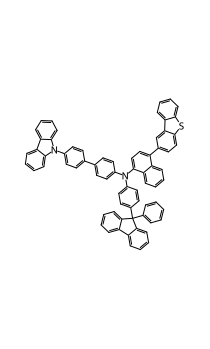 c1ccc(C2(c3ccc(N(c4ccc(-c5ccc(-n6c7ccccc7c7ccccc76)cc5)cc4)c4ccc(-c5ccc6sc7ccccc7c6c5)c5ccccc45)cc3)c3ccccc3-c3ccccc32)cc1